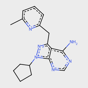 Cc1cccc(Cc2nn(C3CCCC3)c3ncnc(N)c23)n1